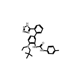 CCN(CC(C)(C)C)c1ccc(-c2ccccc2-c2nnn[nH]2)cc1NC(=O)Nc1ccc(C)cc1